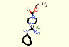 CCOC(=O)N1CCN(C(=N)Nc2ccccc2)CC1.Cl